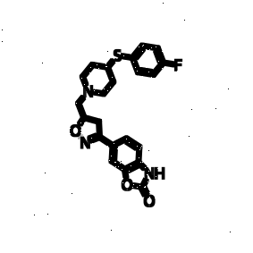 O=c1[nH]c2ccc(C3=NOC(CN4CCC(Sc5ccc(F)cc5)CC4)C3)cc2o1